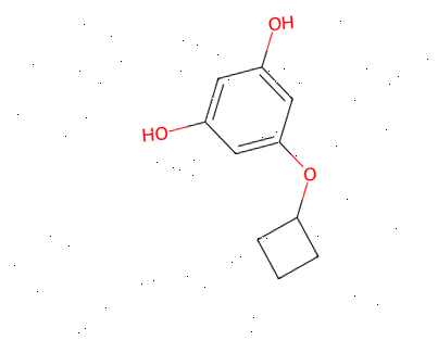 Oc1cc(O)cc(OC2CCC2)c1